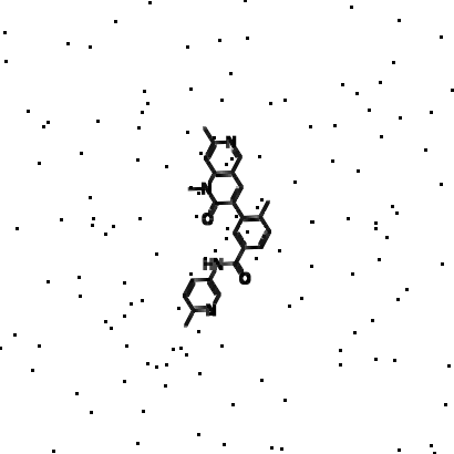 Cc1ccc(NC(=O)c2ccc(C)c(-c3cc4cnc(C)cc4n(C)c3=O)c2)cn1